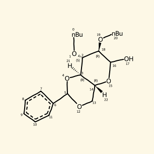 CCCCO[C@H]1[C@@H]2OC(c3ccccc3)OC[C@H]2OC(O)[C@@H]1OCCCC